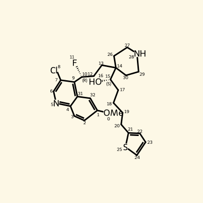 COc1ccc2ncc(Cl)c([C@H](F)CCC3([C@@H](O)CCCCc4cccs4)CCNCC3)c2c1